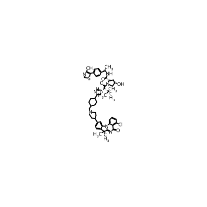 Cc1ncsc1-c1ccc([C@H](C)NC(=O)[C@@H]2C[C@@H](O)CN2C(=O)[C@@H](n2cc(C3CCC(CN4CCC(c5ccc6c(c5)-n5c(nc(=O)c7c(Cl)cccc75)C6(C)C)CC4)CC3)nn2)C(C)(C)C)cc1